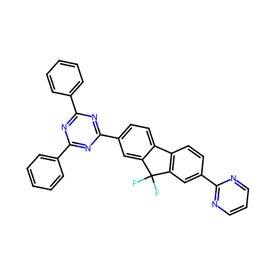 FC1(F)c2cc(-c3ncccn3)ccc2-c2ccc(-c3nc(-c4ccccc4)nc(-c4ccccc4)n3)cc21